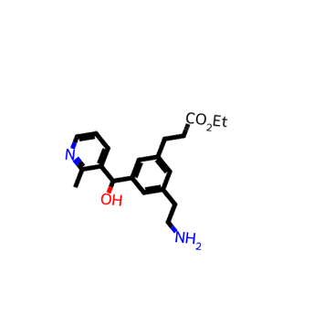 CCOC(=O)CCc1cc(CCN)cc(C(O)c2cccnc2C)c1